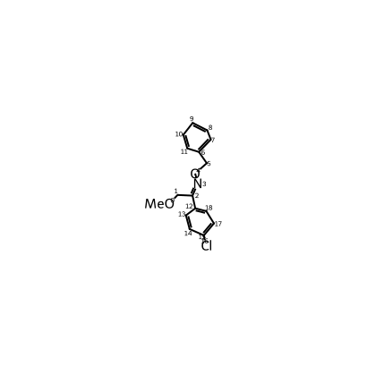 COC/C(=N\OCc1ccccc1)c1ccc(Cl)cc1